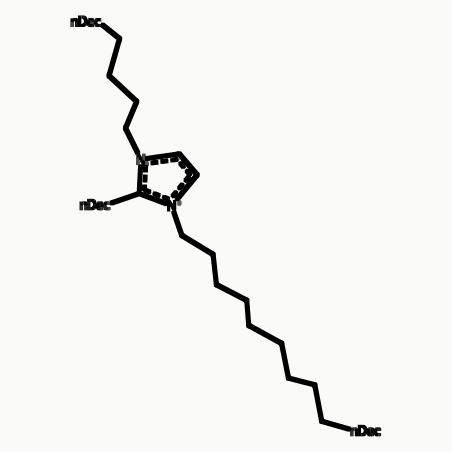 CCCCCCCCCCCCCCCCCCC[n+]1ccn(CCCCCCCCCCCCCC)c1CCCCCCCCCC